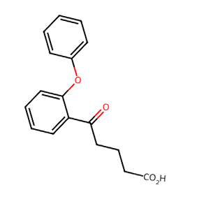 O=C(O)CCCC(=O)c1ccccc1Oc1ccccc1